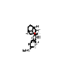 CSc1ncc(N[C@H]2C[C@@H]3CC[C@H]([C@H]2F)N3C(=O)OC(C)(C)C)nn1